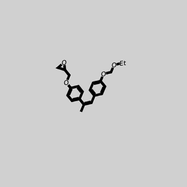 CCOCOc1ccc(/C=C(/C)c2ccc(OCC3CO3)cc2)cc1